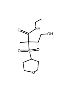 CCNC(=O)C(C)(CCO)S(=O)(=O)C1CCOCC1